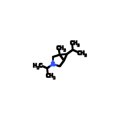 CC(C)C1C2CN(C(C)C)CC21C